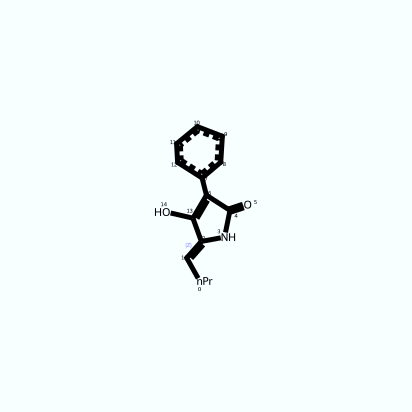 CCC/C=C1\NC(=O)C(c2ccccc2)=C1O